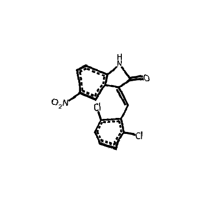 O=C1Nc2ccc([N+](=O)[O-])cc2/C1=C\c1c(Cl)cccc1Cl